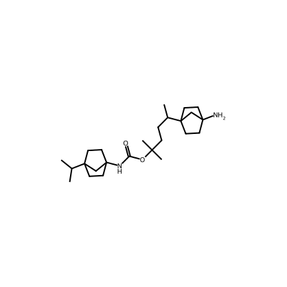 CC(C)C12CCC(NC(=O)OC(C)(C)CCC(C)C34CCC(N)(CC3)C4)(CC1)C2